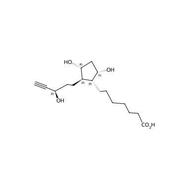 C#C[C@H](O)CC[C@@H]1[C@@H](CCCCCCC(=O)O)[C@@H](O)C[C@H]1O